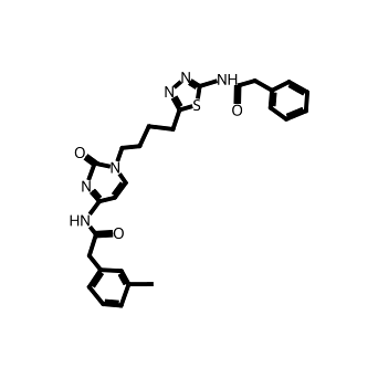 Cc1cccc(CC(=O)Nc2ccn(CCCCc3nnc(NC(=O)Cc4ccccc4)s3)c(=O)n2)c1